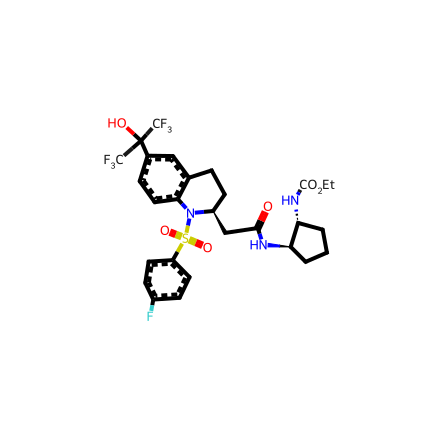 CCOC(=O)N[C@@H]1CCC[C@H]1NC(=O)C[C@@H]1CCc2cc(C(O)(C(F)(F)F)C(F)(F)F)ccc2N1S(=O)(=O)c1ccc(F)cc1